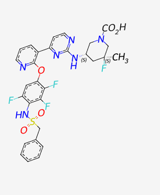 C[C@]1(F)C[C@H](Nc2nccc(-c3cccnc3Oc3cc(F)c(NS(=O)(=O)Cc4ccccc4)c(F)c3F)n2)CN(C(=O)O)C1